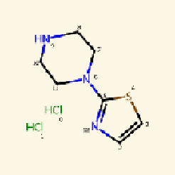 Cl.Cl.c1csc(N2CCNCC2)n1